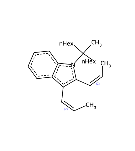 C/C=C\c1c(/C=C\C)n(C(C)(CCCCCC)CCCCCC)c2ccccc12